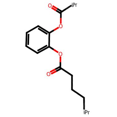 CC(C)CCCC(=O)Oc1ccccc1OC(=O)C(C)C